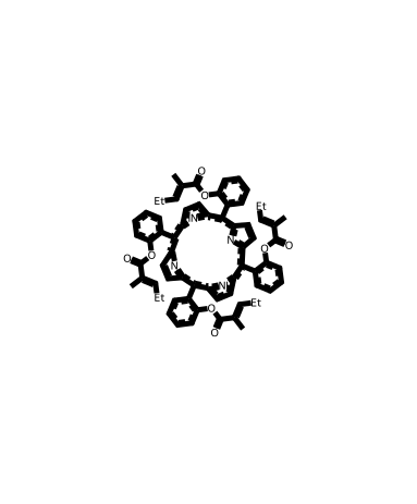 CCC=C(C)C(=O)Oc1ccccc1-c1c2nc(c(-c3ccccc3OC(=O)C(C)=CCC)c3ccc([nH]3)c(-c3ccccc3OC(=O)C(C)=CCC)c3nc(c(-c4ccccc4OC(=O)C(C)=CCC)c4ccc1[nH]4)C=C3)C=C2